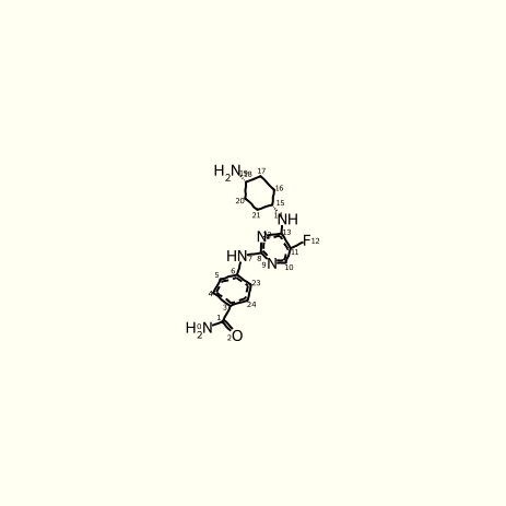 NC(=O)c1ccc(Nc2ncc(F)c(N[C@H]3CC[C@@H](N)CC3)n2)cc1